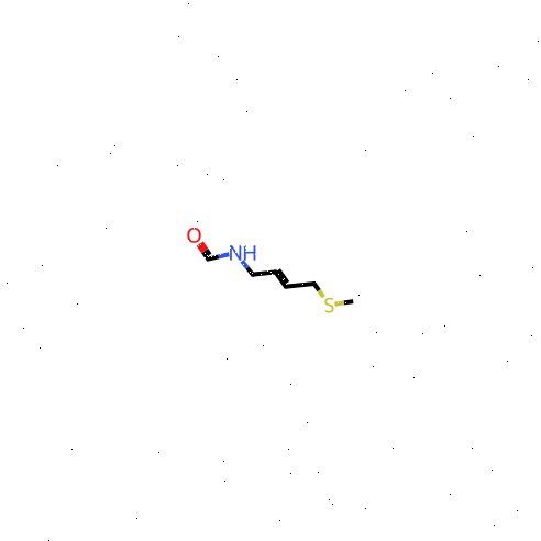 CSCC=CCNC=O